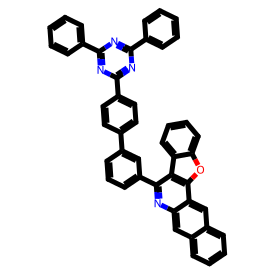 c1ccc(-c2nc(-c3ccccc3)nc(-c3ccc(-c4cccc(-c5nc6cc7ccccc7cc6c6oc7ccccc7c56)c4)cc3)n2)cc1